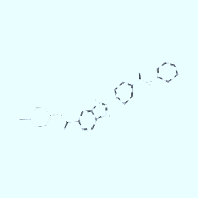 CC1CCC(NC(=O)c2ccc3[nH]c(-c4ccc(C(=O)Nc5ccccc5)cc4)nc3c2)CC1